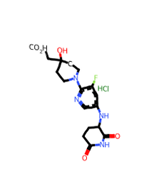 Cl.O=C(O)CC1(O)CCN(c2ncc(NC3CCC(=O)NC3=O)cc2F)CC1